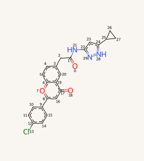 O=C(Cc1ccc2oc(-c3ccc(Cl)cc3)cc(=O)c2c1)Nc1cc(C2CC2)[nH]n1